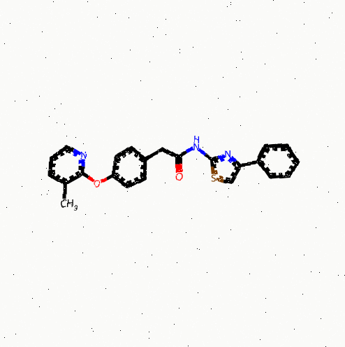 Cc1cccnc1Oc1ccc(CC(=O)Nc2nc(-c3ccccc3)cs2)cc1